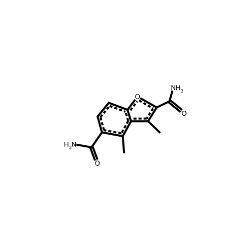 Cc1c(C(N)=O)ccc2oc(C(N)=O)c(C)c12